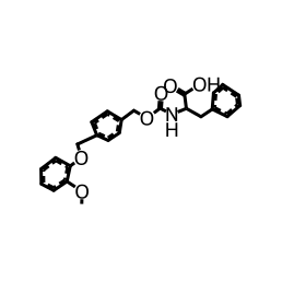 COc1ccccc1OCc1ccc(COC(=O)NC(Cc2ccccc2)C(=O)O)cc1